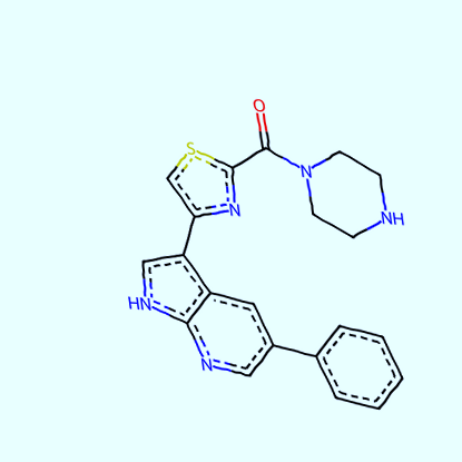 O=C(c1nc(-c2c[nH]c3ncc(-c4ccccc4)cc23)cs1)N1CCNCC1